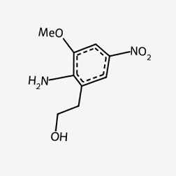 COc1cc([N+](=O)[O-])cc(CCO)c1N